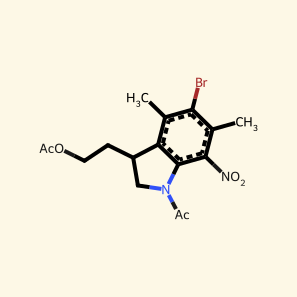 CC(=O)OCCC1CN(C(C)=O)c2c1c(C)c(Br)c(C)c2[N+](=O)[O-]